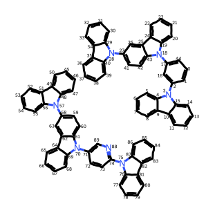 c1cc(-n2c3ccccc3c3ccccc32)cc(-n2c3ccccc3c3cc(-n4c5ccccc5c5ccccc54)ccc32)c1.c1ccc2c(c1)c1ccccc1n2-c1ccc2c(c1)c1ccccc1n2-c1ccc(-n2c3ccccc3c3ccccc32)nc1